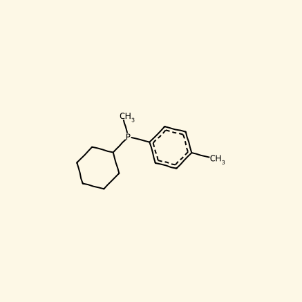 Cc1ccc(P(C)C2CCCCC2)cc1